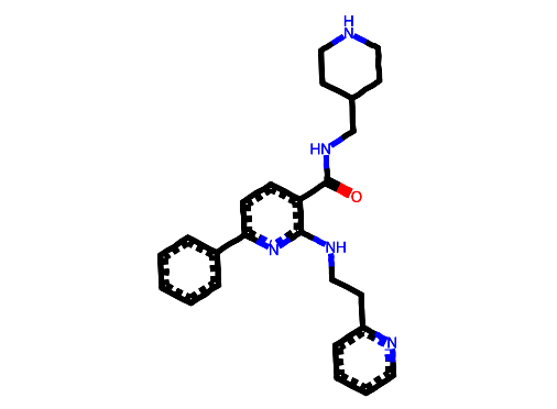 O=C(NCC1CCNCC1)c1ccc(-c2ccccc2)nc1NCCc1ccccn1